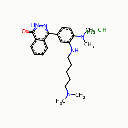 CN(C)CCCCCNc1cc(-c2n[nH]c(=O)c3ccccc23)ccc1N(C)C.Cl.Cl